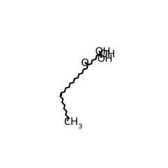 CCCCCCCC/C=C\CCCCCCCCCCCC(=O)CCCCC(O)(O)O